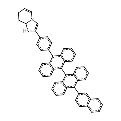 C1=CN2C=C(c3ccc(-c4c5ccccc5c(-c5c6ccccc6c(-c6ccc7ccccc7c6)c6ccccc56)c5ccccc45)cc3)NC2CC1